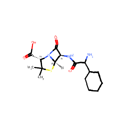 CC1(C)S[C@@H]2[C@H](NC(=O)C(N)C3CCCCC3)C(=O)N2[C@H]1C(=O)O